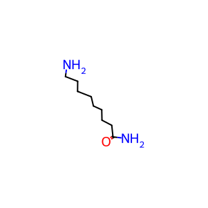 NCCCCCCCCC(N)=O